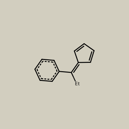 CCC(=C1C=CC=C1)c1ccccc1